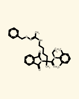 CCN(C(=O)C(C)(CCCCNC(C)=NOCc1ccccc1)N1C(=O)c2ccccc2C1=O)c1c(C)cccc1C